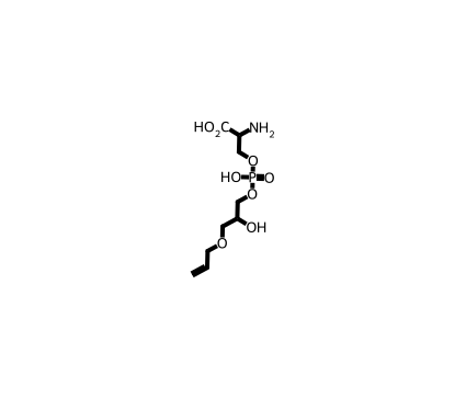 C=CCOCC(O)COP(=O)(O)OCC(N)C(=O)O